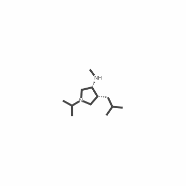 CN[C@H]1CN(C(C)C)C[C@H]1CC(C)C